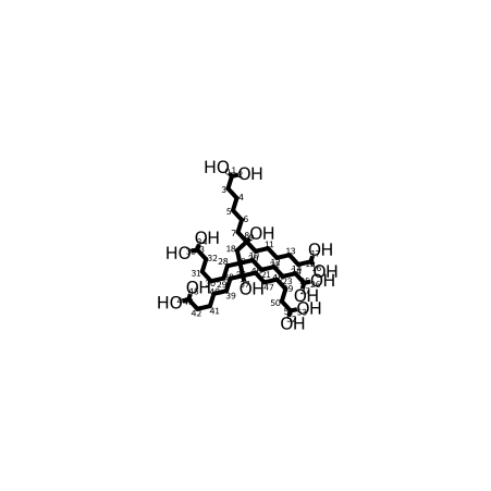 OC(O)CCCCCC(O)(CCCCCC(O)O)CC(CCCCCC(O)O)(CCCCCC(O)O)C(O)(CCCCCC(O)O)CCCCCC(O)O